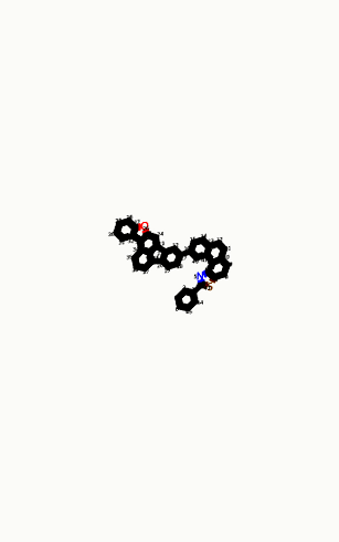 c1ccc(-c2nc3c(ccc4ccc5ccc(-c6ccc7c(c6)-c6cc8oc9ccccc9c8c8cccc-7c68)cc5c43)s2)cc1